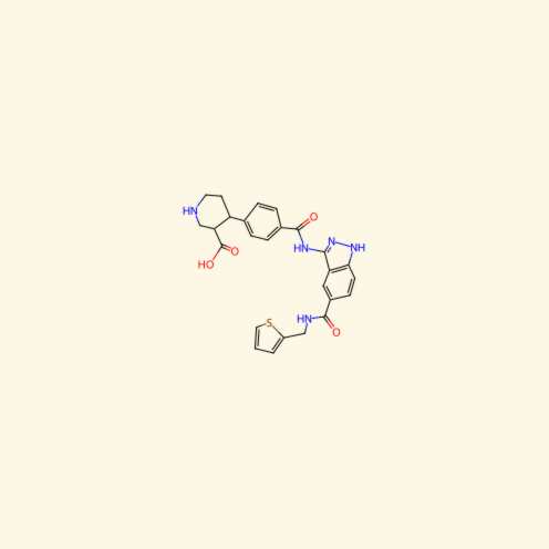 O=C(NCc1cccs1)c1ccc2[nH]nc(NC(=O)c3ccc(C4CCNCC4C(=O)O)cc3)c2c1